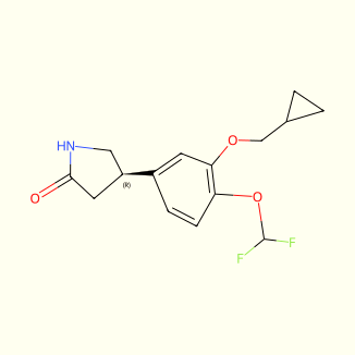 O=C1C[C@H](c2ccc(OC(F)F)c(OCC3CC3)c2)CN1